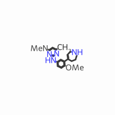 CNc1cc(C)nc(Nc2ccc(OC)c(C3=CCNCCC3)c2)n1